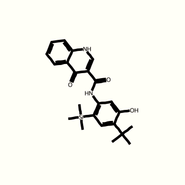 CC(C)(C)c1cc([Si](C)(C)C)c(NC(=O)c2c[nH]c3ccccc3c2=O)cc1O